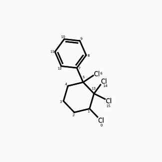 ClC1CCCC(Cl)(c2ccccc2)C1(Cl)Cl